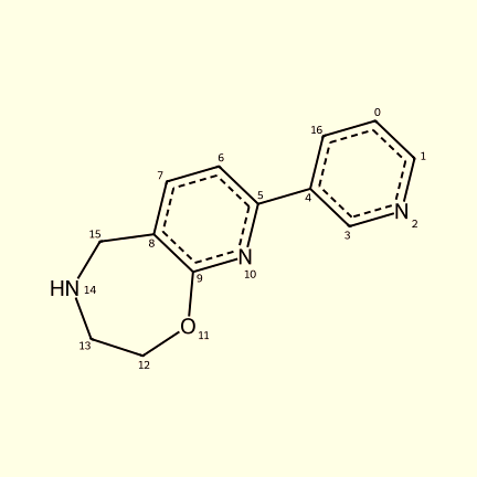 c1cncc(-c2ccc3c(n2)OCCNC3)c1